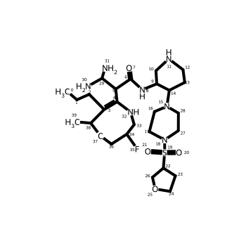 CCC/C1=C(\C(C(=O)NC2CNCCC2N2CCN(S(=O)(=O)C3CCOC3)CC2)C(N)N)NCC(F)CCC1C